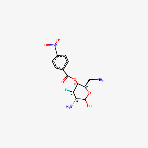 NC[C@H]1OC(O)[C@H](N)[C@@H](F)[C@H]1OC(=O)c1ccc([N+](=O)[O-])cc1